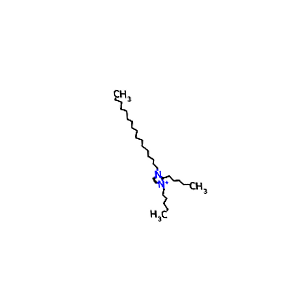 CCCCCCCCCCCCCCCCCn1cc[n+](CCCCCC)c1CCCCCC